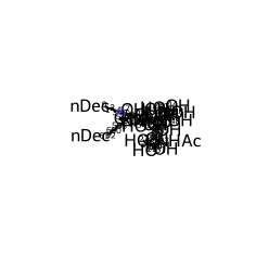 CCCCCCCCCCCCC/C=C/[C@@H](O)[C@H](CO[C@@H]1OC(CO)[C@@H](O[C@@H]2OC(CO[C@@H]3OC(CO)[C@@H](O)[C@H](O)C3NC(C)=O)[C@H](O)[C@H](O[C@H]3OC(CO)[C@H](O)[C@H](O)C3O)C2O)[C@H](O)C1O)NC(=O)CCCCCCCCCCCCCCC